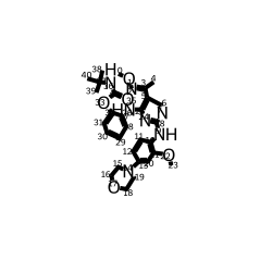 CON=C(C)c1cnc(Nc2ccc(N3CCOCC3)cc2OC)nc1Nc1ccccc1OC(=O)NC(C)(C)C